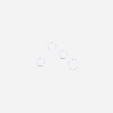 Cc1ncc[nH]1.Cc1ncc[nH]1.Cc1ncc[nH]1.c1cnnnc1